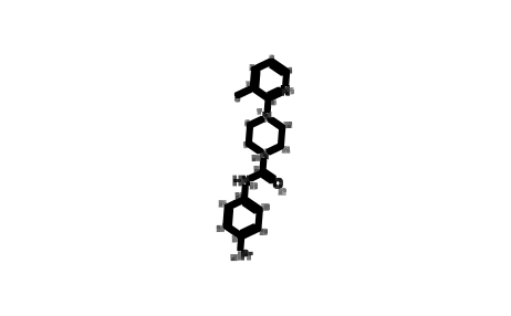 Cc1cccnc1N1CCN(C(=O)Nc2ccc(C(C)C)cc2)CC1